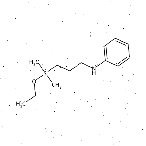 CCO[Si](C)(C)CCCNc1ccccc1